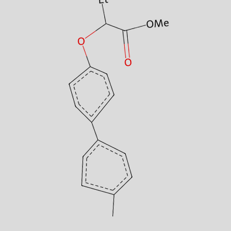 CCC(Oc1ccc(-c2ccc(C)cc2)cc1)C(=O)OC